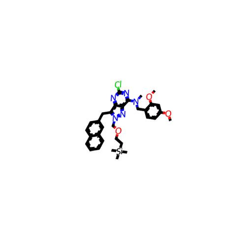 COc1ccc(CN(C)c2nc(Cl)nc3c(Cc4ccc5ccccc5c4)n(COCC[Si](C)(C)C)nc23)c(OC)c1